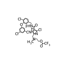 CN(CCOC(=O)C(F)(F)F)Cc1nc(Cl)c(C(=O)NCc2ccc(Cl)c(Oc3cc(Cl)cc(C#N)c3)c2F)[nH]1